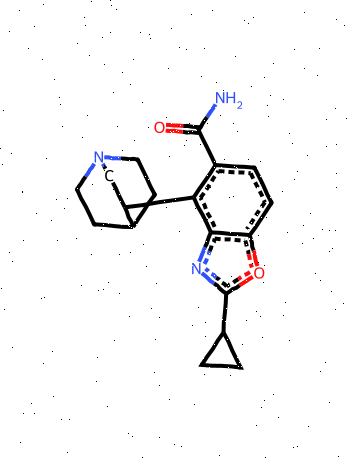 NC(=O)c1ccc2oc(C3CC3)nc2c1C1CN2CCC1CC2